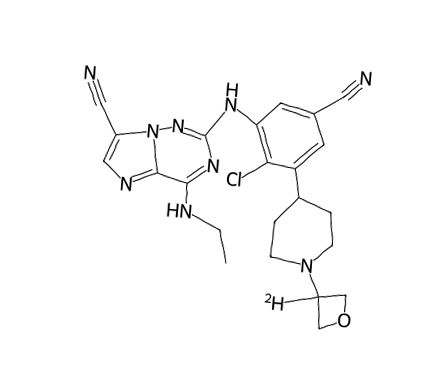 [2H]C1(N2CCC(c3cc(C#N)cc(Nc4nc(NCC)c5ncc(C#N)n5n4)c3Cl)CC2)COC1